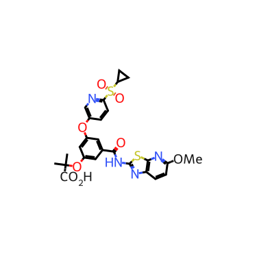 COc1ccc2nc(NC(=O)c3cc(Oc4ccc(S(=O)(=O)C5CC5)nc4)cc(OC(C)(C)C(=O)O)c3)sc2n1